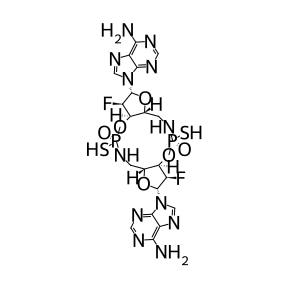 Nc1ncnc2c1ncn2[C@@H]1O[C@@H]2CNP(=O)(S)O[C@H]3[C@@H](F)[C@H](n4cnc5c(N)ncnc54)O[C@@H]3CNP(=O)(S)O[C@H]2[C@H]1F